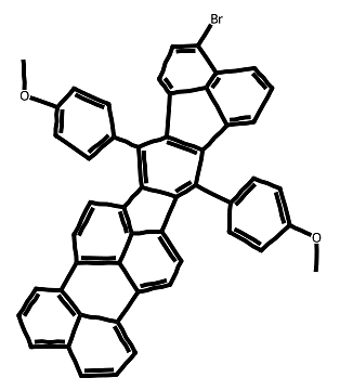 COc1ccc(-c2c3c4cccc5c(Br)ccc(c3c(-c3ccc(OC)cc3)c3c6ccc7c8cccc9cccc(c%10ccc(c23)c6c%107)c98)c54)cc1